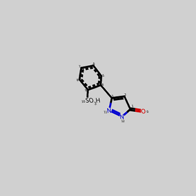 O=C1C=C(c2ccccc2S(=O)(=O)O)N=N1